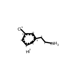 I.NCCc1cccc(Cl)c1